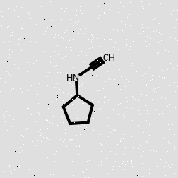 C#CNC1CCCC1